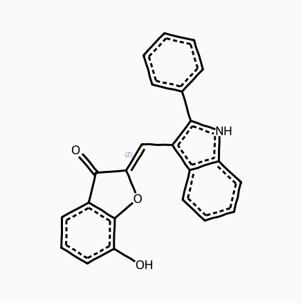 O=C1/C(=C/c2c(-c3ccccc3)[nH]c3ccccc23)Oc2c(O)cccc21